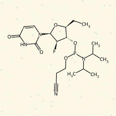 CC[C@@H]1O[C@H](n2ccc(=O)[nH]c2=O)[C@H](F)[C@H]1OP(OCCC#N)N(C(C)C)C(C)C